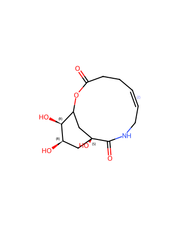 O=C1CC/C=C\CNC(=O)[C@@]2(O)CC(O1)[C@H](O)[C@H](O)C2